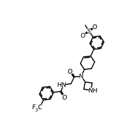 CS(=O)(=O)c1cccc(C2=CCC(N(C(=O)CNC(=O)c3cccc(C(F)(F)F)c3)C3CNC3)CC2)c1